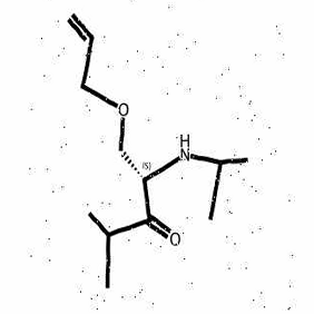 C=CCOC[C@H](NC(C)C)C(=O)C(C)C